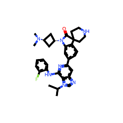 CC(C)n1cnc2cc(-c3ccc4c(c3)N([C@H]3C[C@@H](N(C)C)C3)C(=O)C43CCNCC3)nc(Nc3ccccc3F)c21